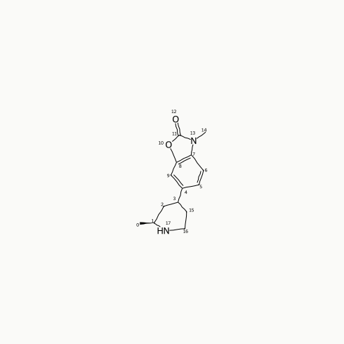 C[C@H]1CC(c2ccc3c(c2)oc(=O)n3C)CCN1